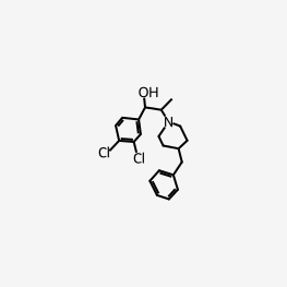 CC(C(O)c1ccc(Cl)c(Cl)c1)N1CCC(Cc2ccccc2)CC1